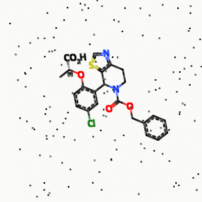 C[C@@H](Oc1ccc(Cl)cc1C1c2scnc2CCN1C(=O)OCc1ccccc1)C(=O)O